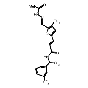 CNC(=O)NN=Cc1sc(C=CC(=O)NC(c2cccc(C(F)(F)F)c2)C(F)(F)F)cc1C